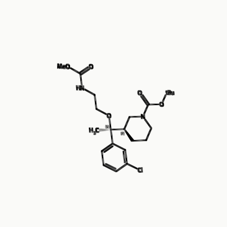 COC(=O)NCCO[C@](C)(c1cccc(Cl)c1)[C@@H]1CCCN(C(=O)OC(C)(C)C)C1